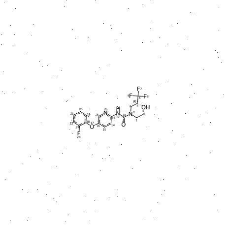 CCN(C[C@@H](O)C(F)(F)F)C(=O)Nc1ccc(Oc2ccccc2F)cn1